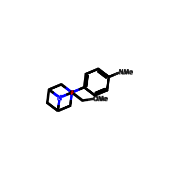 CNc1ccc(N2CC3CC(C2)N3CCOC)cc1